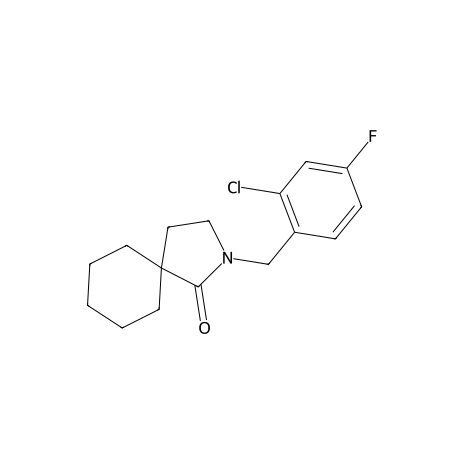 O=C1N(Cc2ccc(F)cc2Cl)CCC12CCCCC2